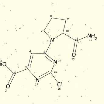 COC(=O)c1cc(N2CCCC2C(N)=O)nc(Cl)n1